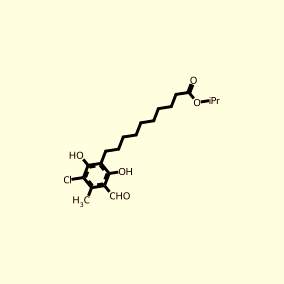 Cc1c(Cl)c(O)c(CCCCCCCCCC(=O)OC(C)C)c(O)c1C=O